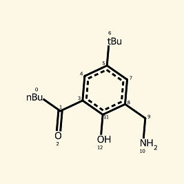 CCCCC(=O)c1cc(C(C)(C)C)cc(CN)c1O